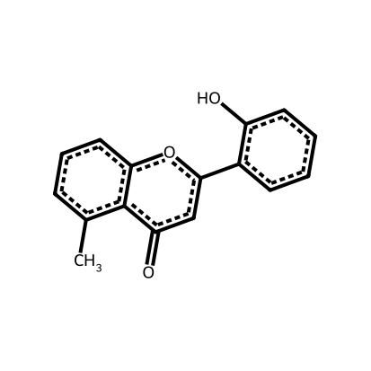 Cc1cccc2oc(-c3ccccc3O)cc(=O)c12